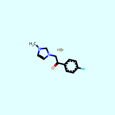 Br.CN1C=CN(CC(=O)c2ccc(F)cc2)C1